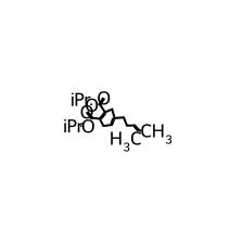 CC(C)=CCCC1=CCC(C(=O)OC(C)C)=C(C(=O)OC(C)C)C1